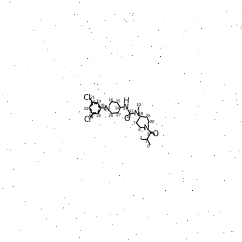 CC(C)C(=O)N1CCC(N(C)C(=O)NC2CCN(c3cc(Cl)cc(Cl)c3)CC2)CC1